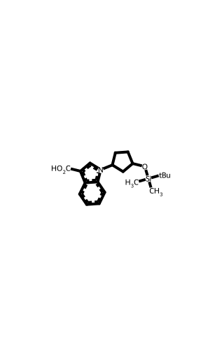 CC(C)(C)[Si](C)(C)OC1CCC(n2cc(C(=O)O)c3ccccc32)C1